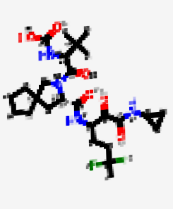 CC(F)(F)CCC(NC(=O)[C@@H]1CC2(CCCC2)CN1C(=O)C(NC(=O)O)C(C)(C)C)C(=O)C(=O)NC1CC1